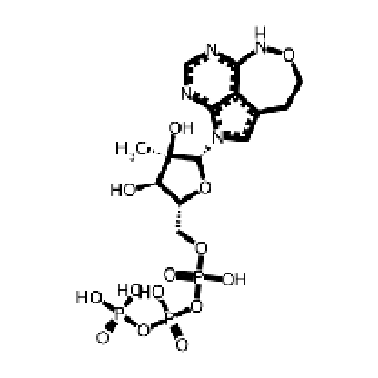 C[C@@]1(O)[C@H](O)[C@@H](COP(=O)(O)OP(=O)(O)OP(=O)(O)O)O[C@H]1n1cc2c3c(ncnc31)NOCC2